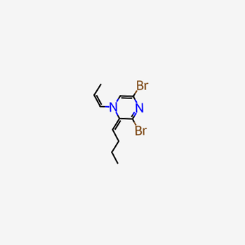 C/C=C\N1C=C(Br)N=C(Br)/C1=C\CCC